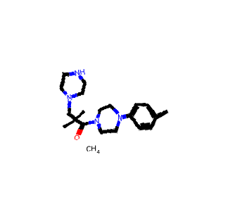 C.Cc1ccc(N2CCN(C(=O)C(C)(C)CN3CCNCC3)CC2)cc1